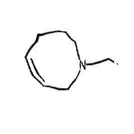 [CH2]N1CC=CCC1